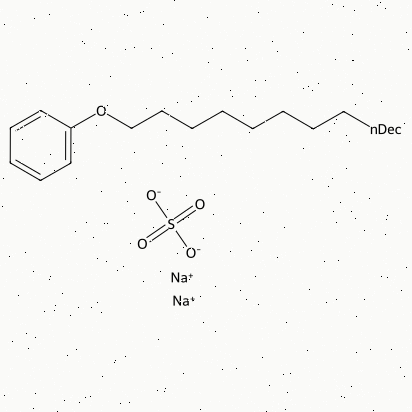 CCCCCCCCCCCCCCCCCCOc1ccccc1.O=S(=O)([O-])[O-].[Na+].[Na+]